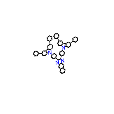 C1=C(c2ccccc2)CCc2c1c1cc(-c3ccccc3)ccc1n2-c1ccc(-c2nc3cc4ccccc4cc3nc2-c2ccc(-n3c4ccc(-c5ccccc5)cc4c4cc(-c5ccccc5)ccc43)cc2)cc1